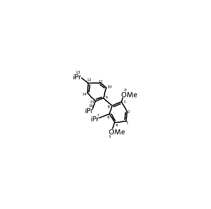 COc1ccc(OC)c(C(C)C)c1-c1ccc(C(C)C)cc1C(C)C